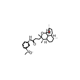 C[C@@H]1CC[C@H]2[C@@H](C)C(C)(CCC(=O)Nc3cccc([S+](C)[O-])c3)O[C@@H]3O[C@]4(C)CC[C@@H]1[C@]32OO4